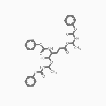 CC(NC(=O)Oc1ccccc1)OC(=O)CCC(NC(=O)Oc1ccccc1)C(O)OC(C)NC(=O)Oc1ccccc1